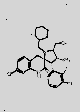 N[C@@H]1[C@H](CO)N(CC2CCCCC2)[C@]2(Cc3ccc(Cl)cc3NC2=O)[C@H]1c1cccc(Cl)c1F